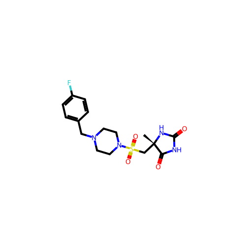 C[C@@]1(CS(=O)(=O)N2CCN(Cc3ccc(F)cc3)CC2)NC(=O)NC1=O